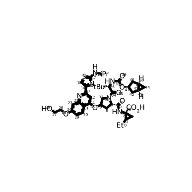 CCC1C[C@]1(NC(=O)[C@@H]1CC(Oc2cc(-c3csc(NC(C)C)n3)nc3cc(OCCO)ccc23)CN1C(=O)[C@@H](NC(=O)O[C@@H]1C[C@@H]2C[C@@H]2C1)C(C)(C)C)C(=O)O